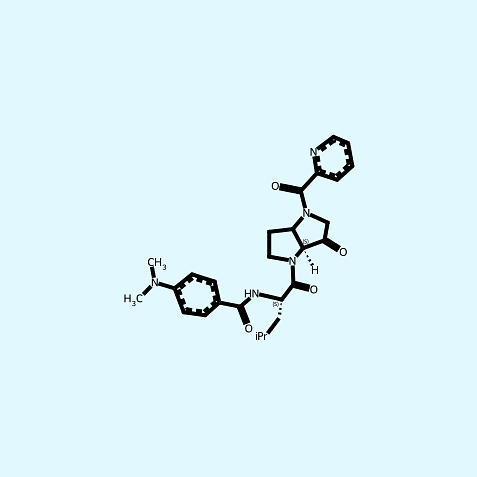 CC(C)C[C@H](NC(=O)c1ccc(N(C)C)cc1)C(=O)N1CCC2[C@H]1C(=O)CN2C(=O)c1ccccn1